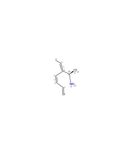 C=C/C=C\C(=C/C)[C@H](N)C(F)(F)F